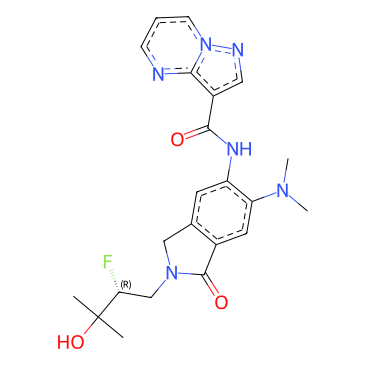 CN(C)c1cc2c(cc1NC(=O)c1cnn3cccnc13)CN(C[C@@H](F)C(C)(C)O)C2=O